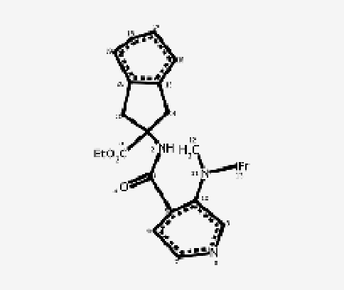 CCOC(=O)C1(NC(=O)c2ccncc2N(C)C(C)C)Cc2ccccc2C1